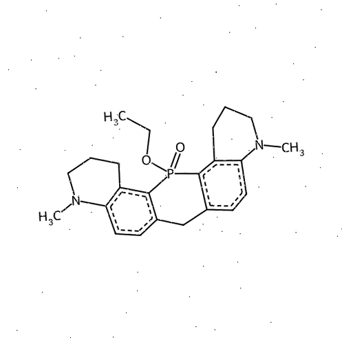 CCOP1(=O)c2c(ccc3c2CCCN3C)Cc2ccc3c(c21)CCCN3C